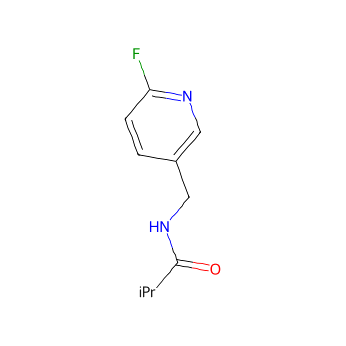 CC(C)C(=O)NCc1ccc(F)nc1